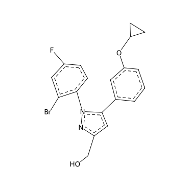 OCc1cc(-c2cccc(OC3CC3)c2)n(-c2ccc(F)cc2Br)n1